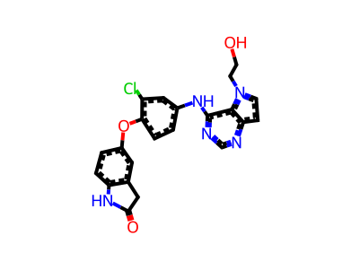 O=C1Cc2cc(Oc3ccc(Nc4ncnc5ccn(CCO)c45)cc3Cl)ccc2N1